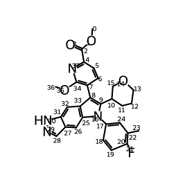 COC(=O)c1ccc(-c2c(C3CCCOC3)n(-c3ccc(F)c(C)c3)c3cc4cn[nH]c4cc23)c(OC)n1